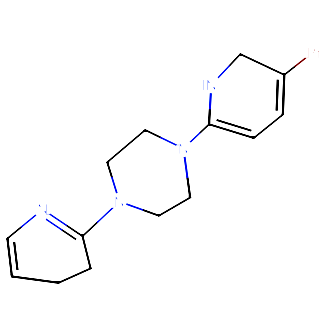 BrC1=CC=C(N2CCN(C3=NC=CCC3)CC2)NC1